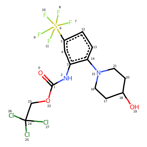 O=C(Nc1cc(S(F)(F)(F)(F)F)ccc1N1CCC(O)CC1)OCC(Cl)(Cl)Cl